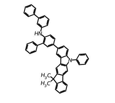 CC1(C)c2ccccc2-c2cc3c(cc21)c1cc(-c2ccc(Nc4cccc(-c5ccccc5)c4)c(-c4ccccc4)c2)ccc1n3-c1ccccc1